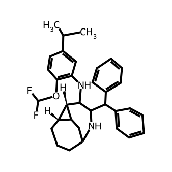 CC(C)c1ccc(OC(F)F)c(NC2C(C(c3ccccc3)c3ccccc3)NC3CCC[C@H]4C(C3)[C@@H]24)c1